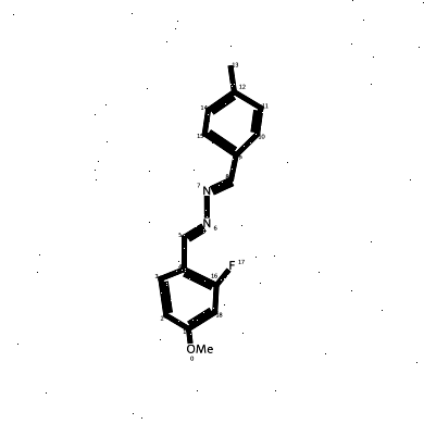 COc1ccc(C=NN=Cc2ccc(C)cc2)c(F)c1